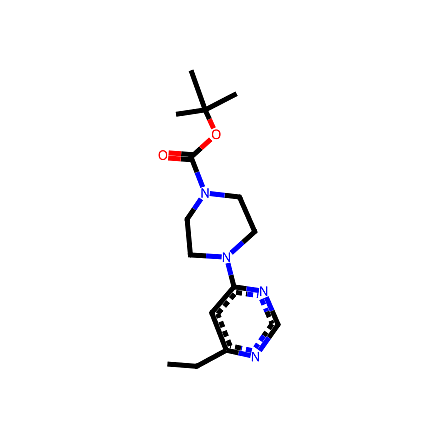 CCc1cc(N2CCN(C(=O)OC(C)(C)C)CC2)ncn1